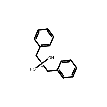 O[PH](O)(Cc1ccccc1)Cc1ccccc1